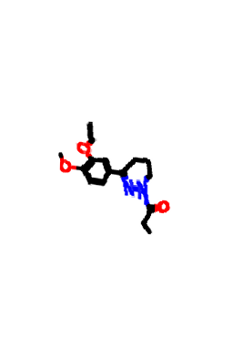 CCOc1cc(C2=NN(C(=O)CC)CCC2)ccc1OC